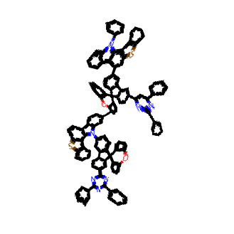 c1ccc(-c2cc(-c3ccc4c(c3)-c3cc(-c5cc6sc7ccccc7c6c6c5c5ccccc5n6-c5ccccc5)ccc3C43c4ccccc4Oc4c(-c5ccc6c7ccc8sc9ccccc9c8c7n(-c7ccc8c(c7)-c7ccc(-c9nc(-c%10ccccc%10)nc(-c%10ccccc%10)n9)cc7C87c8ccccc8Oc8ccccc87)c6c5)cccc43)nc(-c3ccccc3)n2)cc1